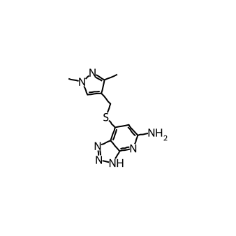 Cc1nn(C)cc1CSc1cc(N)nc2[nH]nnc12